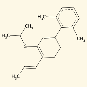 C/C=C/C1=C(SC(C)C)C=C(c2c(C)cccc2C)CC1